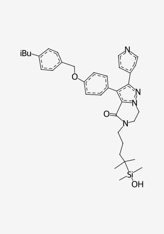 CCC(C)c1ccc(COc2ccc(-c3c(-c4ccncc4)nn4c3C(=O)N(CCCC(C)(C)[Si](C)(C)O)CC4)cc2)cc1